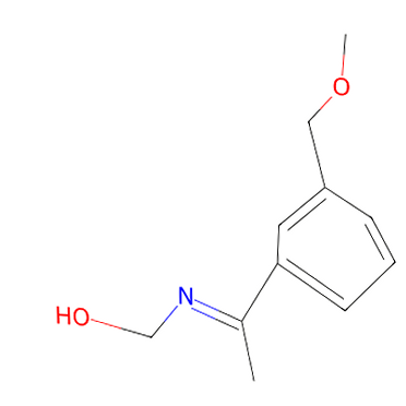 COCc1cccc(/C(C)=N/CO)c1